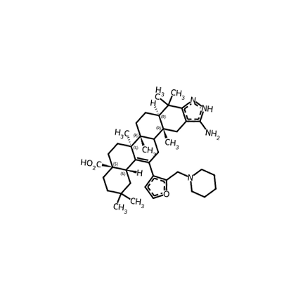 CC1(C)CC[C@]2(C(=O)O)CC[C@]3(C)C(=C(c4ccoc4CN4CCCCC4)CC4[C@@]5(C)Cc6c(n[nH]c6N)C(C)(C)[C@@H]5CC[C@]43C)[C@@H]2C1